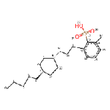 CCCCC[C@H]1CC[C@H](CCCc2cccc(C)c2S(=O)(=O)O)CC1